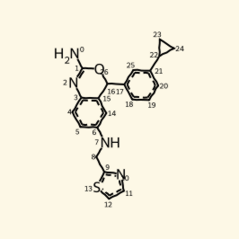 NC1=Nc2ccc(NCc3nccs3)cc2C(c2cccc(C3CC3)c2)O1